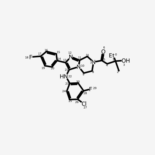 CCC(C)(O)CC(=O)N1CCn2c(nc(-c3ccc(F)cc3)c2Nc2ccc(Cl)c(F)c2)C1